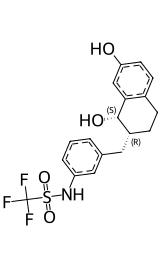 O=S(=O)(Nc1cccc(C[C@H]2CCc3ccc(O)cc3[C@H]2O)c1)C(F)(F)F